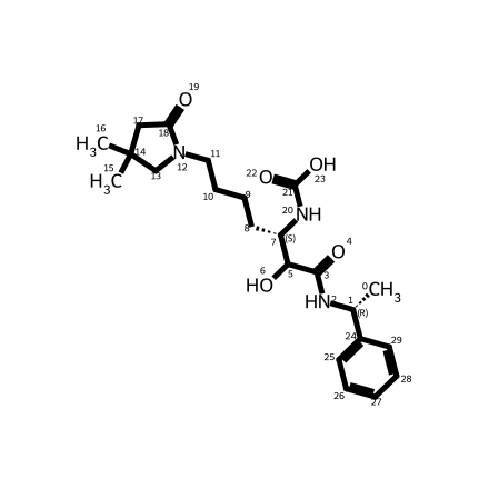 C[C@@H](NC(=O)C(O)[C@H](CCCCN1CC(C)(C)CC1=O)NC(=O)O)c1ccccc1